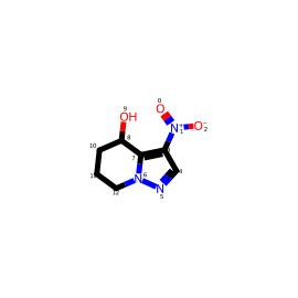 O=[N+]([O-])c1cnn2c1C(O)CCC2